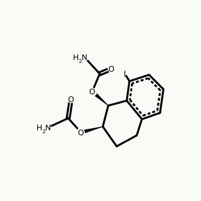 NC(=O)O[C@@H]1CCc2cccc(I)c2[C@@H]1OC(N)=O